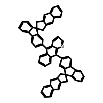 c1ccc2c(c1)-c1ccc(-c3c4ccccc4c(-c4ccc5c(c4)C4(Cc6cc7ccccc7cc6C4)c4ccccc4-5)c4ncccc34)cc1C21Cc2cc3ccccc3cc2C1